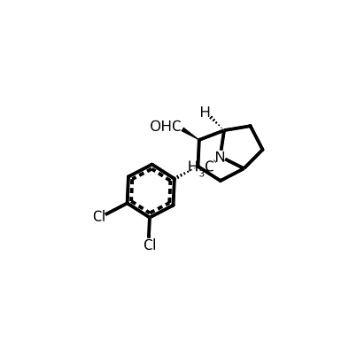 CN1C2CC[C@@H]1[C@H](C=O)[C@@H](c1ccc(Cl)c(Cl)c1)C2